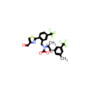 Cc1cc([C@H]2OC(=O)N(Cc3cc(C(F)(F)F)ccc3-c3nc(C=O)cs3)[C@H]2C)cc(C(F)(F)F)c1